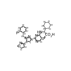 O=C(O)C(Nc1nc(-c2cc(-c3ccon3)n(Cc3ccccc3F)n2)ncc1F)C1CCCCC1